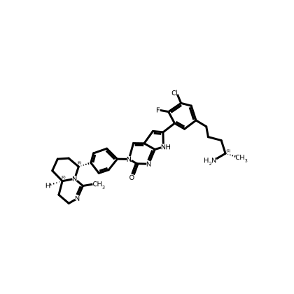 CC1=NCC[C@H]2CCC[C@H](c3ccc(-n4cc5cc(-c6cc(CCC[C@H](C)N)cc(Cl)c6F)[nH]c5nc4=O)cc3)N12